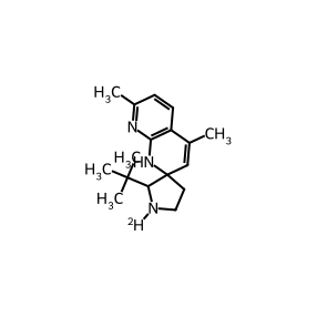 [2H]N1CCC2(C=C(C)c3ccc(C)nc3N2)C1C(C)(C)C